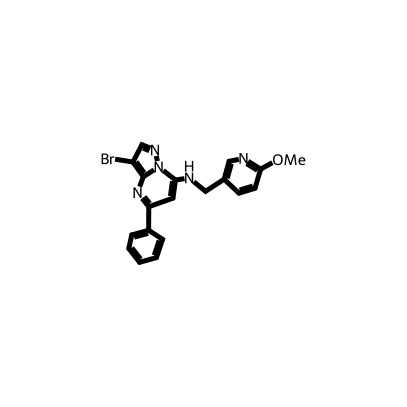 COc1ccc(CNc2cc(-c3ccccc3)nc3c(Br)cnn23)cn1